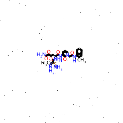 C/C(N)=C(/SN)C(=O)N[C@@H](CCC(=O)C(N)=O)C(=O)Nc1cccn(CC(=O)NC2C(C)CC3CCCC2C3)c1=O